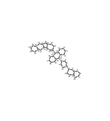 c1ccc2cc(-c3ccc(-c4c5ccccc5c(-c5ccc6sc7cc8ccccc8cc7c6c5)c5ccccc45)cc3)ccc2c1